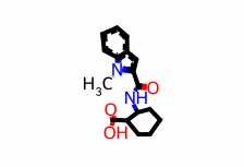 Cn1c(C(=O)NC2CCCCC2C(=O)O)cc2ccccc21